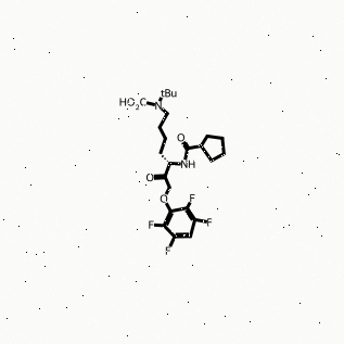 CC(C)(C)N(CCCC[C@H](NC(=O)C1CCCC1)C(=O)COc1c(F)c(F)cc(F)c1F)C(=O)O